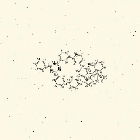 c1ccc(-c2cccc(-c3nc(-c4ccccc4)nc(-c4cccc(-c5cccc(-c6ccc7c(c6)C6(c8ccccc8S7)c7ccccc7-c7ccccc76)c5)c4)n3)c2)cc1